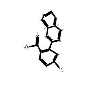 CCc1ccc(C(N)=O)c(-c2ccc3ccccc3c2)c1